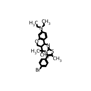 CCN(CC)c1ccc2c(c1)OCC1C2N=C2SC(C)=C(c3ccc(Br)cc3)N2C1(C)C